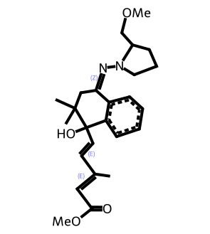 COCC1CCCN1/N=C1/CC(C)(C)C(O)(/C=C/C(C)=C/C(=O)OC)c2ccccc21